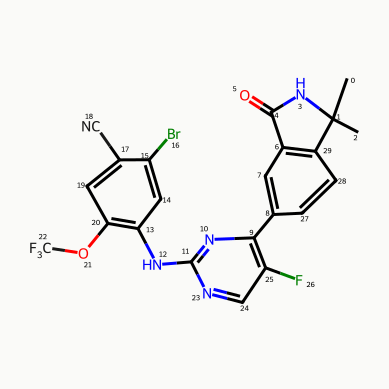 CC1(C)NC(=O)c2cc(-c3nc(Nc4cc(Br)c(C#N)cc4OC(F)(F)F)ncc3F)ccc21